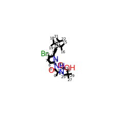 CC(C(=O)Nc1ccc(Br)c(C#C[Si](C(C)C)(C(C)C)C(C)C)n1)N(CC(C)(C)C)C(=O)O